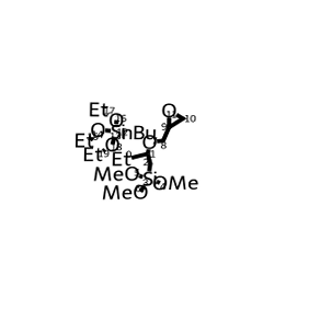 CCC(C[Si](OC)(OC)OC)OCC1CO1.CCCC[Si](OCC)(OCC)OCC